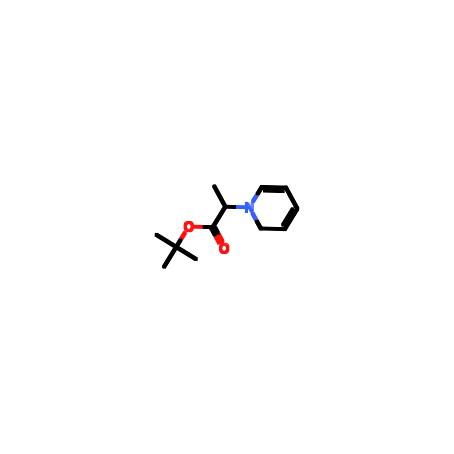 CC(C(=O)OC(C)(C)C)N1C=CC=CC1